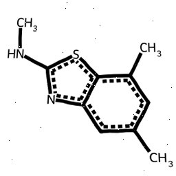 CNc1nc2cc(C)cc(C)c2s1